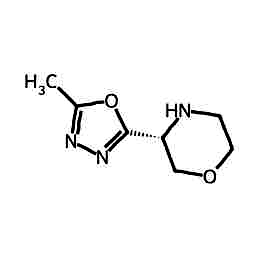 Cc1nnc([C@H]2COCCN2)o1